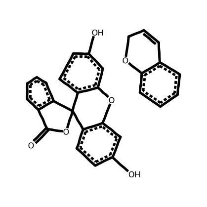 C1=Cc2ccccc2OC1.O=C1OC2(c3ccc(O)cc3Oc3cc(O)ccc32)c2ccccc21